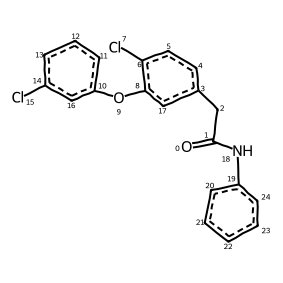 O=C(Cc1ccc(Cl)c(Oc2cccc(Cl)c2)c1)Nc1ccccc1